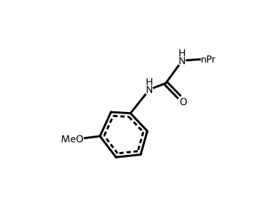 CCCNC(=O)Nc1cccc(OC)c1